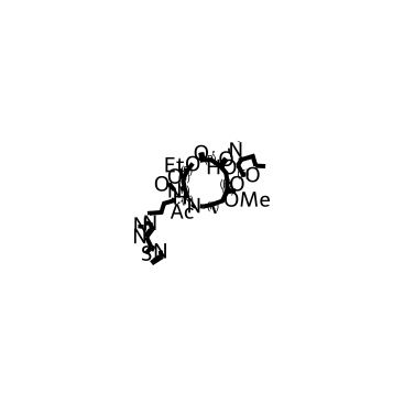 CC[C@H]1OC(=O)[C@H](C)C(=O)C[C@@H](O[C@@H]2OC(C)CC(N(C)C)C2O)[C@](C)(OC)C[C@@H](C)CN(C(C)=O)[C@H](C)[C@H]2N(CCCCn3cc(-c4nccs4)nn3)C(=O)O[C@]12C